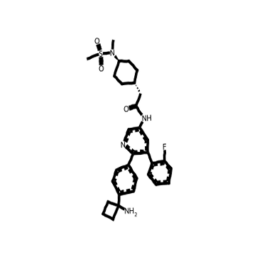 CN([C@H]1CC[C@H](CC(=O)Nc2cnc(-c3ccc(C4(N)CCC4)cc3)c(-c3ccccc3F)c2)CC1)S(C)(=O)=O